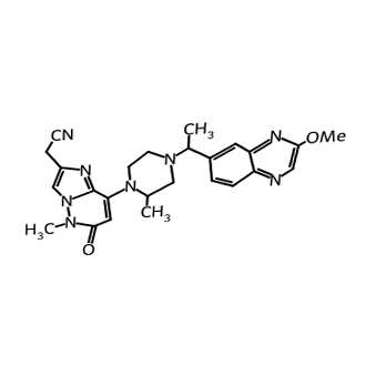 COc1cnc2ccc(C(C)N3CCN(c4cc(=O)n(C)n5cc(CC#N)nc45)C(C)C3)cc2n1